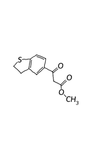 COC(=O)CC(=O)c1ccc2c(c1)CCS2